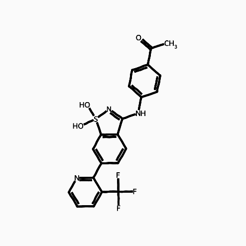 CC(=O)c1ccc(NC2=NS(O)(O)c3cc(-c4ncccc4C(F)(F)F)ccc32)cc1